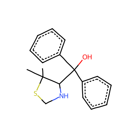 CC1(C)SCNC1C(O)(c1ccccc1)c1ccccc1